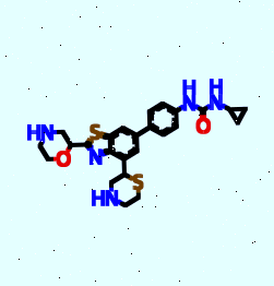 O=C(Nc1ccc(-c2cc(C3CNCCS3)c3nc(C4CNCCO4)sc3c2)cc1)NC1CC1